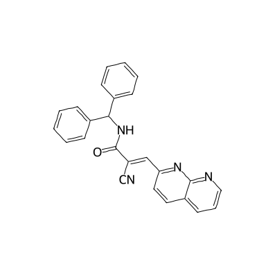 N#C/C(=C\c1ccc2cccnc2n1)C(=O)NC(c1ccccc1)c1ccccc1